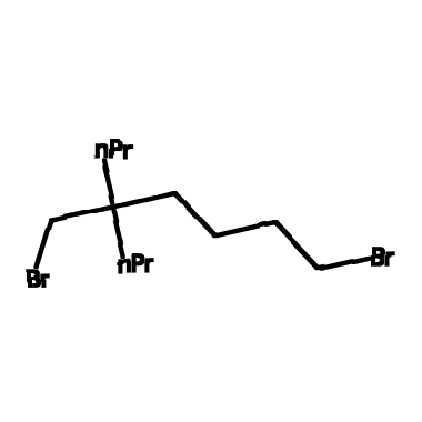 CCCC(CBr)(CCC)CCCCBr